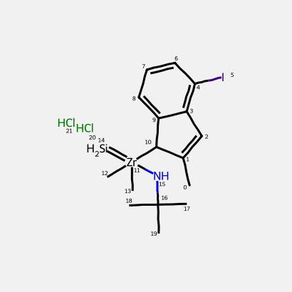 CC1=Cc2c(I)cccc2[CH]1[Zr]([CH3])([CH3])(=[SiH2])[NH]C(C)(C)C.Cl.Cl